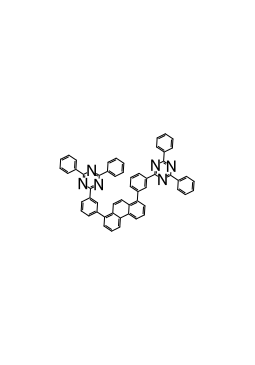 c1ccc(-c2nc(-c3ccccc3)nc(-c3cccc(-c4cccc5c4ccc4c(-c6cccc(-c7nc(-c8ccccc8)nc(-c8ccccc8)n7)c6)cccc45)c3)n2)cc1